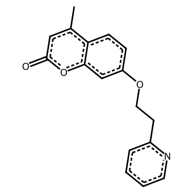 Cc1cc(=O)oc2cc(OCCc3ccccn3)ccc12